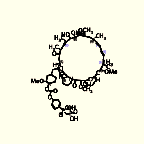 COC1CC(CC2[C@H]3CCCN4C(=O)C(=O)C5(O)O[C@@H](CCC5C)C[C@H](OC)/C(C)=C/C=C/C=C/[C@@H](C)CC(C)C(=O)[C@H](OC)C(O)/C(C)=C/C(C)C(=O)C[C@@H]2OC(=O)C34)CC[C@H]1OC(=O)Oc1ccc(P(=O)(O)CP(=O)(O)O)cc1